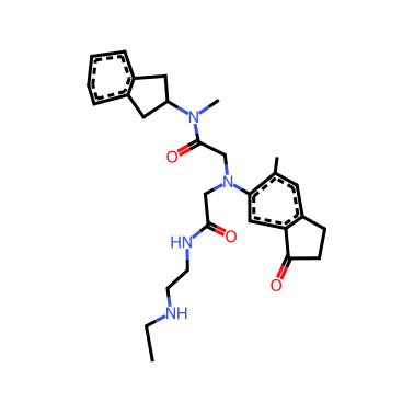 CCNCCNC(=O)CN(CC(=O)N(C)C1Cc2ccccc2C1)c1cc2c(cc1C)CCC2=O